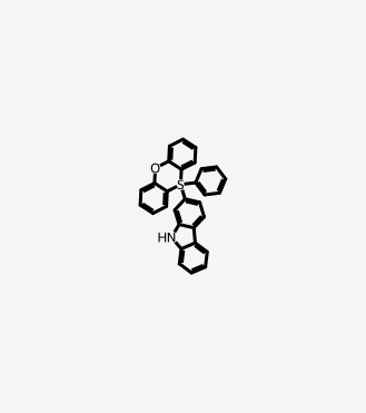 c1ccc(S2(c3ccc4c(c3)[nH]c3ccccc34)c3ccccc3Oc3ccccc32)cc1